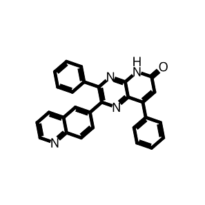 O=c1cc(-c2ccccc2)c2nc(-c3ccc4ncccc4c3)c(-c3ccccc3)nc2[nH]1